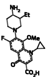 CCC1CN(c2c(F)cc3c(=O)c(C(=O)O)cn(C4CC4)c3c2OC)CCC1N